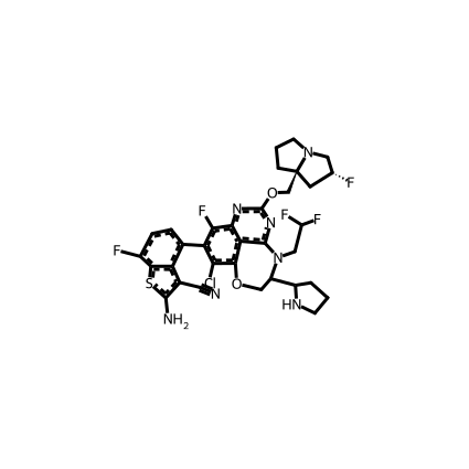 N#Cc1c(N)sc2c(F)ccc(-c3c(Cl)c4c5c(nc(OC[C@@]67CCCN6C[C@H](F)C7)nc5c3F)N(CC(F)F)C(C3CCCN3)CO4)c12